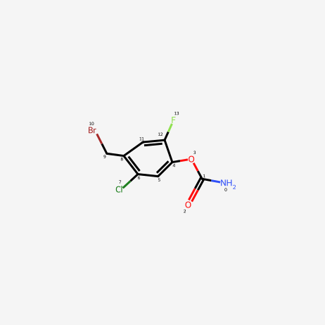 NC(=O)Oc1cc(Cl)c(CBr)cc1F